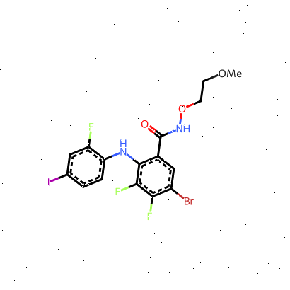 COCCONC(=O)c1cc(Br)c(F)c(F)c1Nc1ccc(I)cc1F